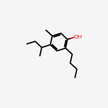 CCCCc1cc(C(C)CC)c(C)cc1O